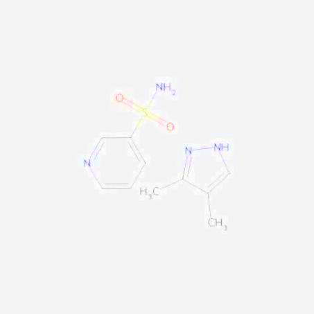 Cc1c[nH]nc1C.NS(=O)(=O)c1cccnc1